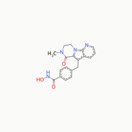 CN1CCn2c(c(Cc3ccc(C(=O)NO)cc3)c3cccnc32)C1=O